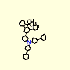 CC1(C)c2ccccc2-c2cc(-c3cccc(N(c4ccc(-c5ccccc5)cc4)c4ccc(-c5ccccc5)cc4)c3)cc(-c3ccccc3)c21